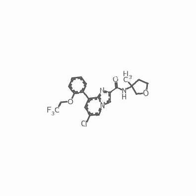 CC1(NC(=O)c2cn3cc(Cl)cc(-c4ccccc4OCC(F)(F)F)c3n2)CCOC1